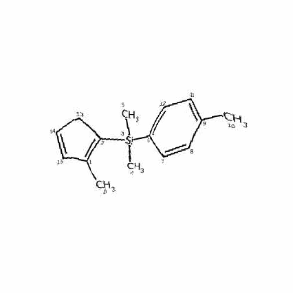 CC1=C([Si](C)(C)c2ccc(C)cc2)CC=C1